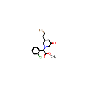 COC(=O)C(c1ccccc1Cl)N1CC(=O)CC(CCS)C1